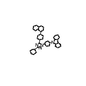 c1ccc(-c2nc(-c3ccc(-c4cccc5ccccc45)cc3)n(-c3ccc(-n4c5ccccc5c5ccccc54)cc3)n2)cc1